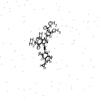 C=CC(=O)N1C[C@@H](n2nc(C#Cc3cc4ncn(C5CC5)c4cc3F)c(C(N)=O)c2NC)C[C@@H]1C